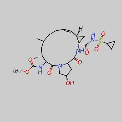 CC1CC/C=C\[C@@H]2C[C@@]2(C(=O)NS(=O)(=O)C2CC2)NC(=O)C2C[C@@H](O)CN2C(=O)[C@@H](NC(=O)OC(C)(C)C)[C@H](C)C1